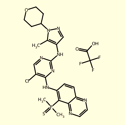 Cc1c(Nc2ncc(Cl)c(Nc3ccc4nccnc4c3P(C)(C)=S)n2)cnn1C1CCOCC1.O=C(O)C(F)(F)F